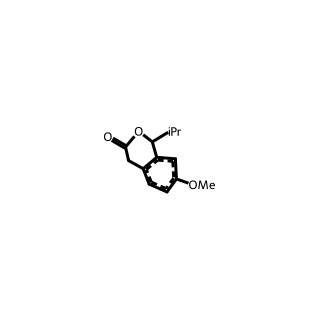 COc1ccc2c(c1)C(C(C)C)OC(=O)C2